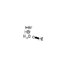 Br.Br.O.[O]=[Hf]